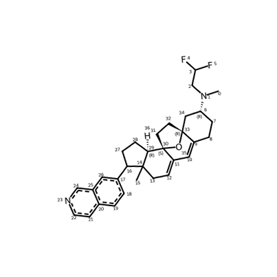 CN(CC(F)F)[C@@H]1CCC2=CC3=CCC4(C)C(c5ccc6ccncc6c5)CC[C@H]4[C@@]34CC[C@]2(C1)O4